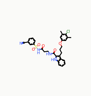 Cc1cc(OCCCc2c(C(=O)NCCC(=O)NS(=O)(=O)c3cccc(C#N)c3)[nH]c3ccccc23)cc(C)c1Cl